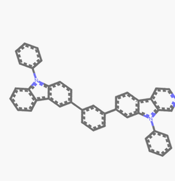 c1ccc(-n2c3ccccc3c3cc(-c4cccc(-c5ccc6c7ccncc7n(-c7ccccc7)c6c5)c4)ccc32)cc1